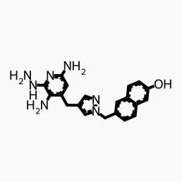 NNc1nc(N)cc(Cc2cnn(Cc3ccc4cc(O)ccc4c3)c2)c1N